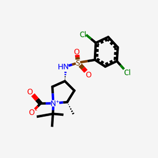 C[C@H]1C[C@@H](NS(=O)(=O)c2cc(Cl)ccc2Cl)C[N+]1(C(=O)[O-])C(C)(C)C